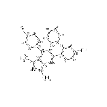 Cc1nn(C)c2nc(-c3ccc(F)cc3)c(-c3ccncc3)c(-c3ccc(F)cc3)c12